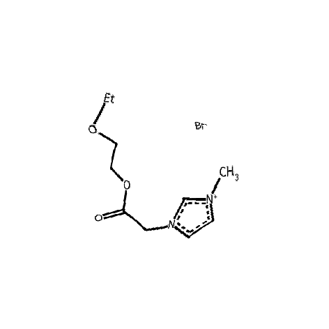 CCOCCOC(=O)Cn1cc[n+](C)c1.[Br-]